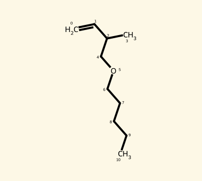 C=CC(C)COCCCCC